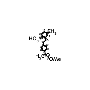 COCOC(C)c1ccc(CCc2cc(C)ccc2S(=O)(=O)O)cc1